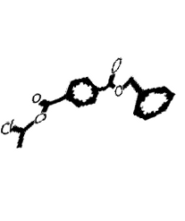 CC(Cl)OC(=O)c1ccc(C(=O)OCc2ccccc2)cc1